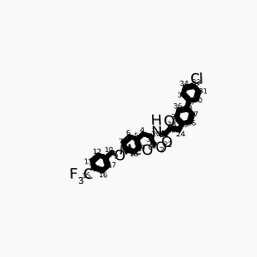 COC(=O)C(Cc1ccc(OCc2ccc(C(F)(F)F)cc2)cc1)NC(=O)c1cc2ccc(-c3ccc(Cl)cc3)cc2o1